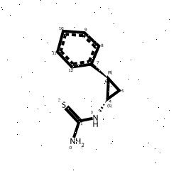 NC(=S)N[C@H]1C[C@@H]1c1ccccc1